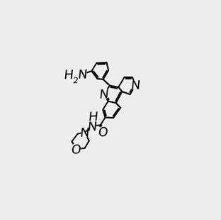 Nc1cccc(-c2nc3cc(C(=O)NN4CCOCC4)ccc3c3cnccc23)c1